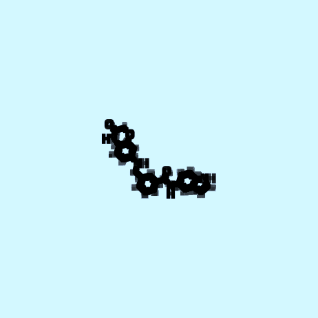 O=C1COc2cc(NCc3cccc(C(=O)Nc4ccc5[nH]ccc5c4)c3)ccc2N1